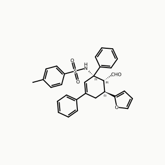 Cc1ccc(S(=O)(=O)N[C@@]2(c3ccccc3)C=C(c3ccccc3)C[C@H](c3ccco3)[C@H]2C=O)cc1